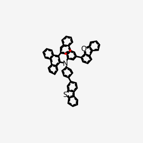 c1cc(-c2cccc3c2oc2ccccc23)cc(N(c2ccc(-c3ccc4c(c3)sc3ccccc34)cc2)c2c(-c3ccc4ccccc4c3)c3ccccc3c3ccccc23)c1